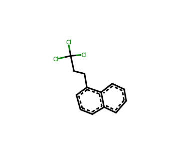 ClC(Cl)(Cl)[CH]Cc1cccc2ccccc12